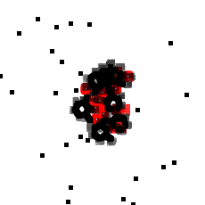 CC1CCCC(COC2(C(OC3CCCC(C(OC4(C)CCCCC4=O)(OC4(C)CCCCC4=O)C4CCCC(C)(C)C4=O)C3O)C3CCCCC3O)CCCC(C)C2O)C1O